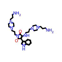 NCCCN1CCN(CCCNC2=C(c3c[nH]c4ccccc34)C(=O)N(CCCN3CCN(CCCN)CC3)C2=O)CC1